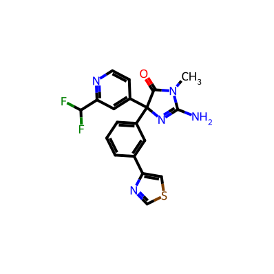 CN1C(=O)C(c2cccc(-c3cscn3)c2)(c2ccnc(C(F)F)c2)N=C1N